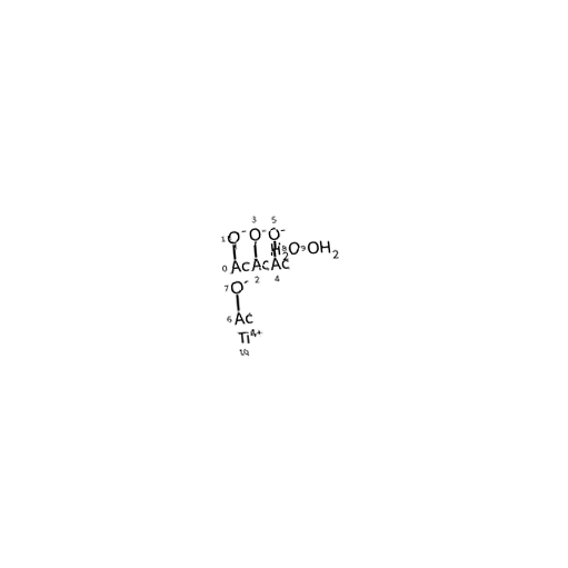 CC(=O)[O-].CC(=O)[O-].CC(=O)[O-].CC(=O)[O-].O.O.[Ti+4]